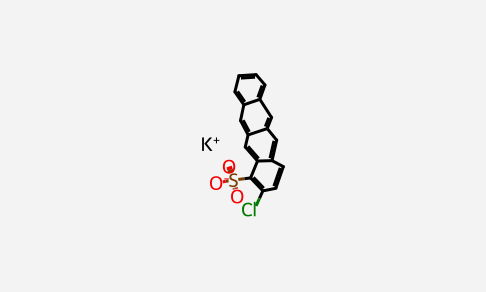 O=S(=O)([O-])c1c(Cl)ccc2cc3cc4ccccc4cc3cc12.[K+]